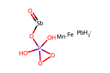 [Fe].[Mn].[O]=[Sb][O]P1(O)(O)OO1.[PbH2]